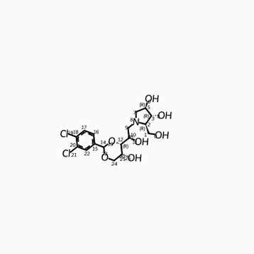 OC[C@@H]1[C@@H](O)[C@H](O)CN1C[C@@H](O)[C@H]1OC(c2ccc(Cl)c(Cl)c2)OC[C@H]1O